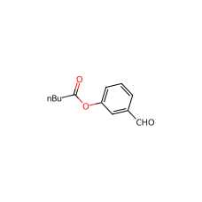 [CH2]CCCC(=O)Oc1cccc(C=O)c1